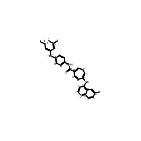 CC/C=C(\C=C(\C)N)Nc1ccc(NC(=O)C2=CCC=C(Nc3ccnc4ccc(C)cc34)C=C2)cc1